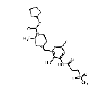 Cc1c(CN2CCN(C(=O)OC3CCCC3)C(C)C2)cc(Cl)cc1NC(=O)CCS(C)(=O)=O